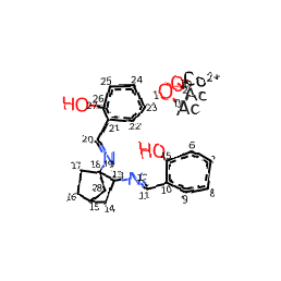 CC(=O)[O-].CC(=O)[O-].Oc1ccccc1C=NC1CC2CCC1(N=Cc1ccccc1O)C2.[Co+2]